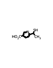 CC(S)c1ccc(C(=O)O)cn1